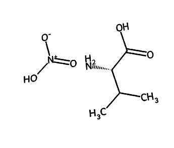 CC(C)[C@H](N)C(=O)O.O=[N+]([O-])O